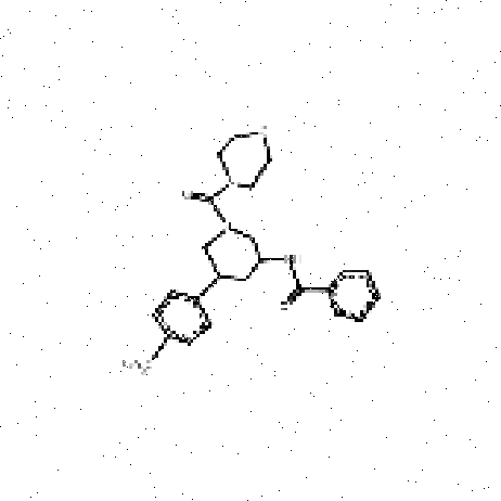 CCOC(=O)c1ccc(C2CC(NC(=O)c3ccccc3)CN(C(=O)N3CCOCC3)C2)cc1